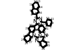 c1ccc(-c2nc(-c3ccc4ccccc4c3)nc(-c3ccc4c5ccccc5n(-c5nc6ccccc6c6nc7ccccc7n56)c4c3)n2)cc1